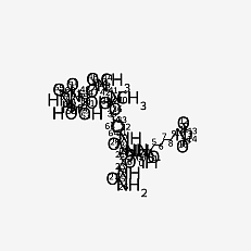 CC(C)[C@H](NC(=O)CCCCCN1C(=O)C=CC1=O)C(=O)N[C@@H](CCCNC(N)=O)C(=O)Nc1ccc(COC(=O)N(C)CCN(C)C(=O)OC[C@@H]2[C@@H](O)[C@H](O)[C@H](O)[C@H]3NC(=O)C(=O)N23)cc1